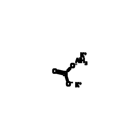 O=[Si]([O-])[O-].[AlH3].[K+].[K+]